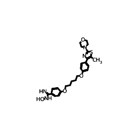 Cc1sc(N2CCOCC2)nc1-c1ccc(OCCCCCOc2ccc(C(=N)NO)cc2)cc1